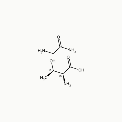 C[C@@H](O)[C@H](N)C(=O)O.NCC(N)=O